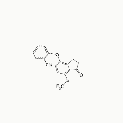 N#Cc1ccccc1Oc1ccc(SC(F)(F)F)c2c1CCC2=O